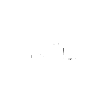 CN[C@H](CO)CCCCN